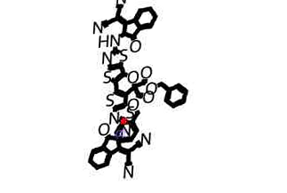 N#CC(C#N)=C1C2=CCCC=C2C(=O)/C1=N\c1nc2sc3c(c2s1)C(C(=O)OCc1ccccc1)(C(=O)OCc1ccccc1)Oc1c-3sc2nc(NC3C(=O)C4=CCCC=C4C3=C(C#N)C#N)sc12